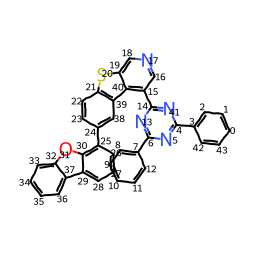 c1ccc(-c2nc(-c3ccccc3)nc(-c3cncc4sc5ccc(-c6cccc7c6oc6ccccc67)cc5c34)n2)cc1